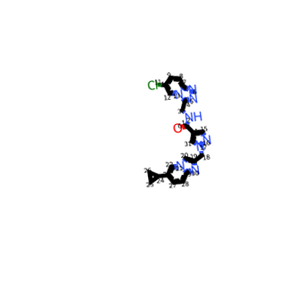 O=C(NCc1nnc2ccc(Cl)cn12)c1cnn(Cc2cn3cc(C4CC4)ccc3n2)c1